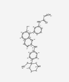 C=CC(=O)Nc1cccc(-c2c(F)ccc3cnc(Nc4ccc(C5(CO)CNCCO5)nc4)nc23)c1